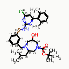 Cc1cccc(C)c1-c1cc(Cl)nc(NSc2cccc(CN3CC(O)CN(C(=O)OC(C)(C)C)CC3CC(C)C)c2)n1